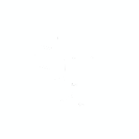 COCO[C@H]1c2c(F)cccc2C[C@H]1NC(=O)O